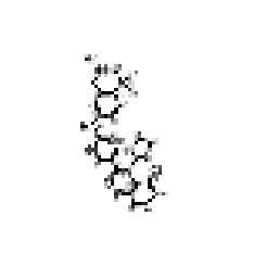 CC(=O)N1Cc2cc(Nc3ncc4c(n3)N3CCN=C3N(c3c(F)cccc3Cl)C4=O)ccc2C2(CC2)C1